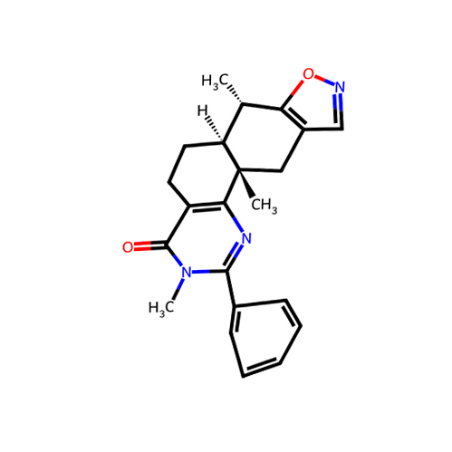 C[C@@H]1c2oncc2C[C@]2(C)c3nc(-c4ccccc4)n(C)c(=O)c3CC[C@@H]12